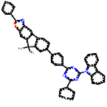 CC1(C)c2cc(-c3ccc(-c4nc(-c5ccccc5)nc(-n5c6ccccc6c6ccccc65)n4)cc3)ccc2-c2cc3nc(-c4ccccc4)oc3cc21